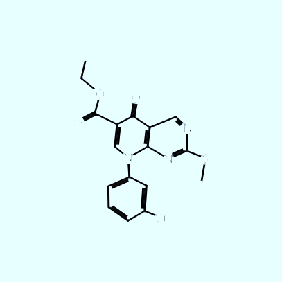 CCOC(=O)c1cn(-c2cccc(Br)c2)c2nc(SC)ncc2c1=O